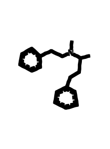 CC(CCc1ccccc1)N(C)CCc1ccccc1